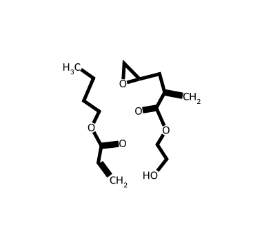 C=C(CC1CO1)C(=O)OCCO.C=CC(=O)OCCCC